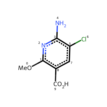 COc1nc(N)c(Cl)cc1C(=O)O